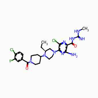 CC[C@H]1CN(c2nc(N)c(C(=O)NC(=N)NC)nc2Cl)CCN1C1CCN(C(=O)c2ccc(Cl)c(F)c2)CC1